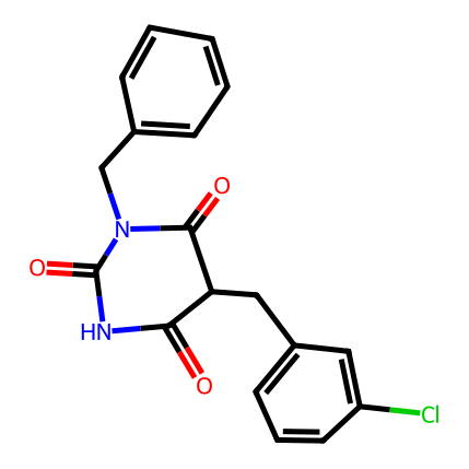 O=C1NC(=O)N(Cc2ccccc2)C(=O)C1Cc1cccc(Cl)c1